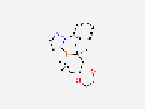 CC1(C)CC2(CC(C)(C)P1c1ccnn1-c1ccccc1)OCCO2